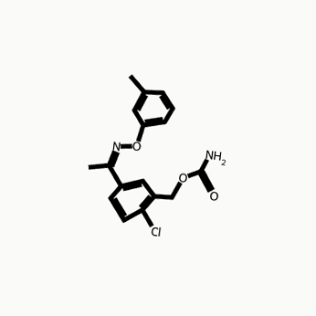 CC(=NOc1cccc(C)c1)c1ccc(Cl)c(COC(N)=O)c1